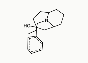 CCCN1C2CCCC1CC(O)(c1ccccc1)CC2